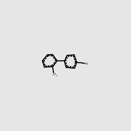 [CH2]C(=O)c1ccc(-c2ccccc2C(F)(F)F)cc1